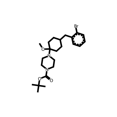 COC1(N2CCN(C(=O)OC(C)(C)C)CC2)CCC(Cc2ccccc2Br)CC1